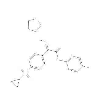 O=C(Nc1ccc(Cl)cn1)/C(=N/O[C@@H]1CCOC1)c1ccc(S(=O)(=O)C2CC2)cc1